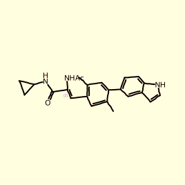 CC(=O)N/C(=C\c1cc(C)c(-c2ccc3[nH]ccc3c2)cc1C)C(=O)NC1CC1